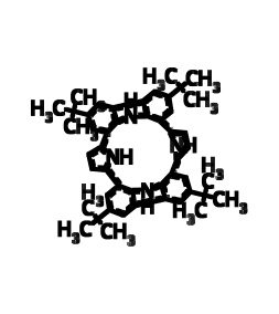 CC(C)(C)c1cc2c3ccc([nH]3)c3cc(C(C)(C)C)cc4c5cc(C(C)(C)C)cc(c6ccc([nH]6)c6cc(C(C)(C)C)cc7c(c1)c2[nH]c67)c5[nH]c34